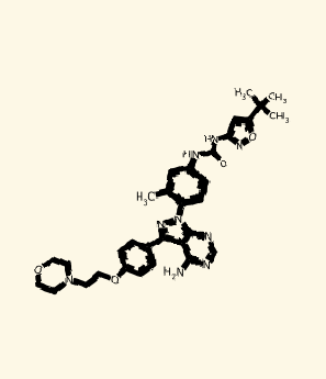 Cc1cc(NC(=O)Nc2cc(C(C)(C)C)on2)ccc1-n1nc(-c2ccc(OCCN3CCOCC3)cc2)c2c(N)ncnc21